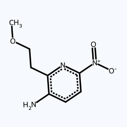 COCCc1nc([N+](=O)[O-])ccc1N